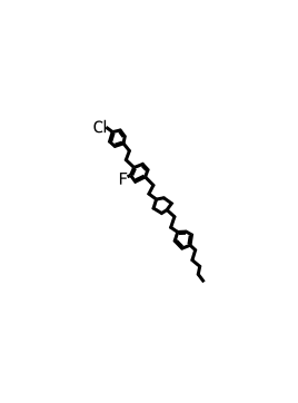 CCCCCc1ccc(CCC2CCC(CCc3ccc(CCc4ccc(Cl)cc4)c(F)c3)CC2)cc1